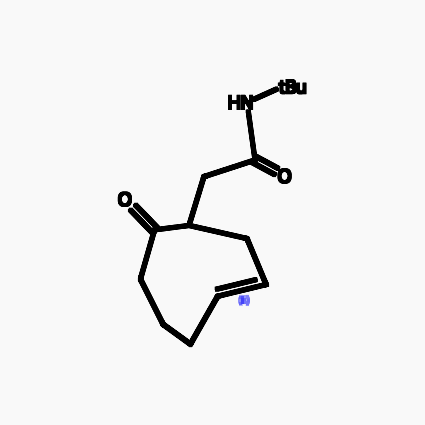 CC(C)(C)NC(=O)CC1C/C=C/CCCC1=O